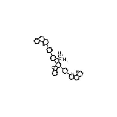 CC1(C)c2cc(-c3ccc(-c4ccc5ccc6ccccc6c5n4)cc3)ccc2-c2c1cc(-c1ccc(-c3ccc4ccc5cccnc5c4n3)cc1)c1c2oc2ccccc21